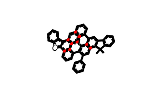 CC1(C)c2ccccc2-c2cc(-c3ccccc3N(c3ccc4oc5ccccc5c4c3)c3cccc(-c4ccccc4)c3-c3ccccc3-c3ccccc3)ccc21